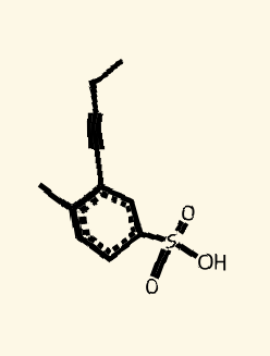 CCC#Cc1cc(S(=O)(=O)O)ccc1C